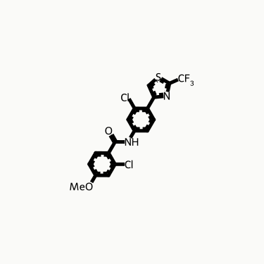 COc1ccc(C(=O)Nc2ccc(-c3csc(C(F)(F)F)n3)c(Cl)c2)c(Cl)c1